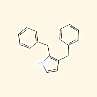 c1ccc(Cc2cc[nH]c2Cc2ccccc2)cc1